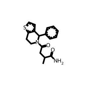 CC(CC(=O)N1CCc2sccc2C1c1ccccc1)C(N)=O